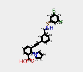 O=C(O)c1cccc(C#Cc2cccc(CNSc3cc(F)cc(F)c3)c2)c1-n1cccc1